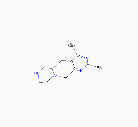 CC(C)(C)c1nc2c(c(C(C)(C)C)n1)CC1CNCCN1C2